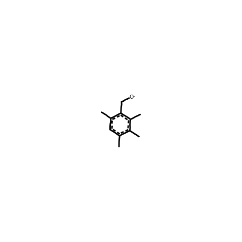 Cc1cc(C)c(C[O])c(C)c1C